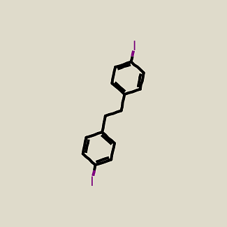 Ic1ccc(CCc2ccc(I)cc2)cc1